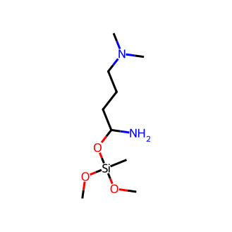 CO[Si](C)(OC)OC(N)CCCN(C)C